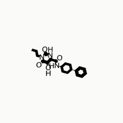 CCCn1c(=O)[nH]c(C(=O)N[C@H]2CC[C@@H](c3ccccc3)CC2)c(O)c1=O